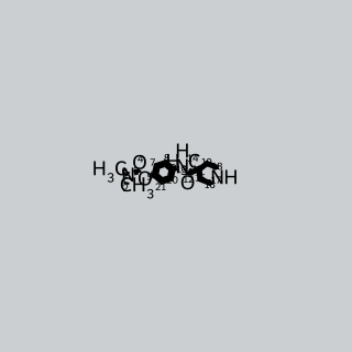 CN(C)C(=O)Oc1ccc(NC(=O)C2(C)CCNCC2)cc1